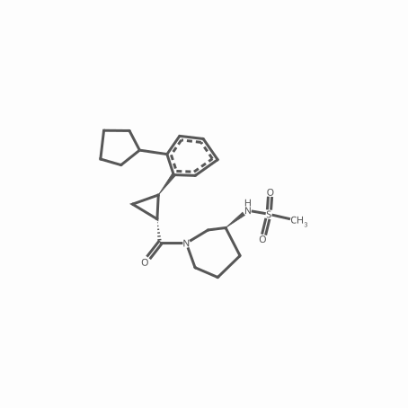 CS(=O)(=O)N[C@H]1CCCN(C(=O)[C@@H]2C[C@H]2c2ccccc2C2CCCC2)C1